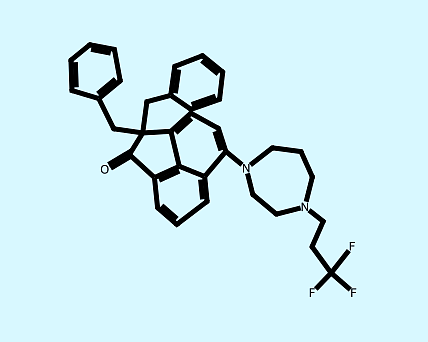 O=C1c2cccc3c(N4CCCN(CCC(F)(F)F)CC4)ccc(c23)C1(Cc1ccccc1)Cc1ccccc1